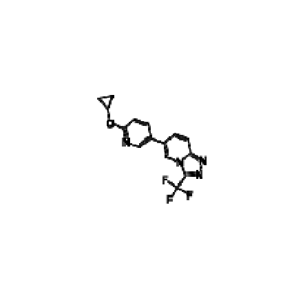 FC(F)(F)c1nnc2ccc(-c3ccc(OC4CC4)nc3)cn12